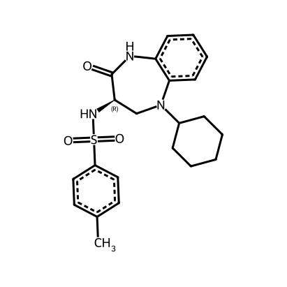 Cc1ccc(S(=O)(=O)N[C@@H]2CN(C3CCCCC3)c3ccccc3NC2=O)cc1